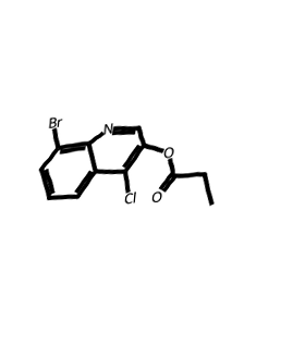 CCC(=O)Oc1cnc2c(Br)cccc2c1Cl